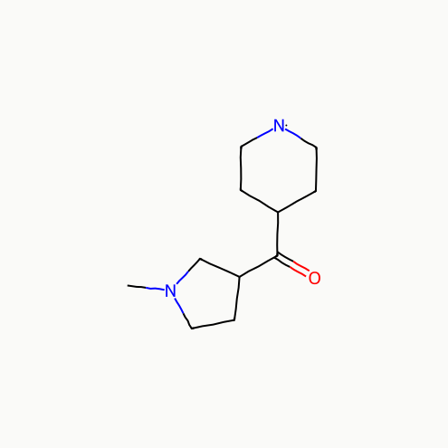 CN1CCC(C(=O)C2CC[N]CC2)C1